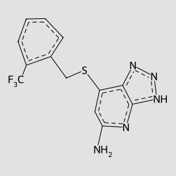 Nc1cc(SCc2ccccc2C(F)(F)F)c2nn[nH]c2n1